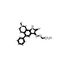 CCOC(=O)CON=C1C(=O)Nc2c1cc(-c1ccccc1)c1c2CN(C)CC1